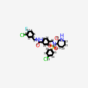 O=C(NCc1ccc(F)c(Cl)c1)c1ccc(CN([C@@H]2CCCCNC2=O)S(=O)(=O)c2ccc(Cl)cc2)cc1